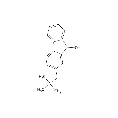 C[N+](C)(C)Cc1ccc2c(c1)C(O)c1ccccc1-2